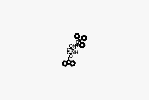 O=C(CC[C@@H](NC(=O)OCC1c2ccccc2-c2ccccc21)C(=O)O)OC(c1ccccc1)(c1ccccc1)c1ccccc1